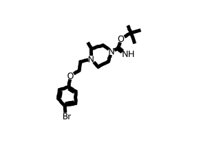 CC1CN(C(=N)OC(C)(C)C)CCN1CCOc1ccc(Br)cc1